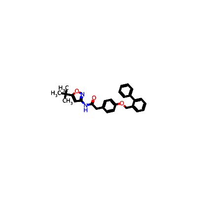 CC(C)(C)c1cc(NC(=O)Cc2ccc(OCc3ccccc3-c3ccccc3)cc2)no1